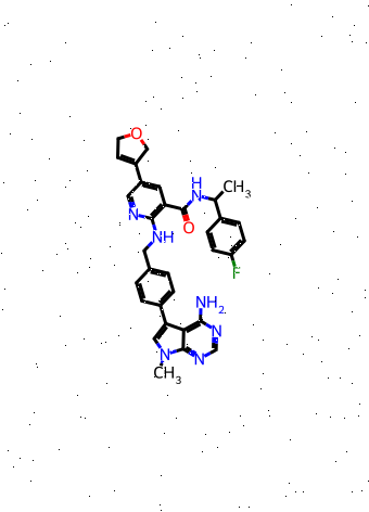 CC(NC(=O)c1cc(C2=CCOC2)cnc1NCc1ccc(-c2cn(C)c3ncnc(N)c23)cc1)c1ccc(F)cc1